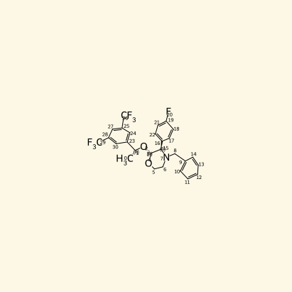 C[C@@H](O[C@H]1OCCN(Cc2ccccc2)[C@@H]1c1ccc(F)cc1)c1cc(C(F)(F)F)cc(C(F)(F)F)c1